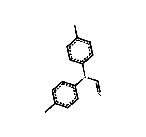 Cc1cc[c]([Al]([CH]=S)[c]2ccc(C)cc2)cc1